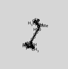 CC[C@@H]1C(=O)N(C)c2cnc(Nc3ccc(C(=O)NCCOCCOCCOCCOCCn4cc(Nc5nc(N6C[C@@H](F)[C@H](NC(=O)OC(C)(C)C)C6)nc6c5ncn6C)c(OC)n4)cc3OC)nc2N1C1CCCC1